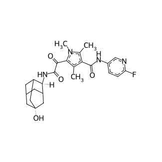 Cc1c(C(=O)Nc2ccc(F)nc2)c(C)n(C)c1C(=O)C(=O)N[C@H]1C2CC3CC1C[C@](O)(C3)C2